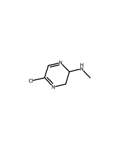 CNC1CN=C(Cl)C=N1